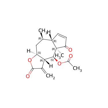 C=C1C(=O)O[C@H]2C[C@@H](C)[C@@H]3C=CC(=O)[C@@]3(C)[C@@H](OC(C)=O)[C@H]12